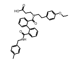 CCOc1ccc(CCN(CCC(=O)O)C(=O)c2ccccc2-c2ccccc2C(=O)NCc2ccc(C)cc2)cc1